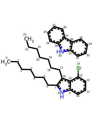 CCCCCCCc1[nH]c2cccc(Br)c2c1CCCCCCC.c1ccc2c(c1)[nH]c1ccccc12